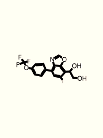 OCC(O)c1c(I)cc(-c2ccc(OC(F)(F)F)cc2)c2ncoc12